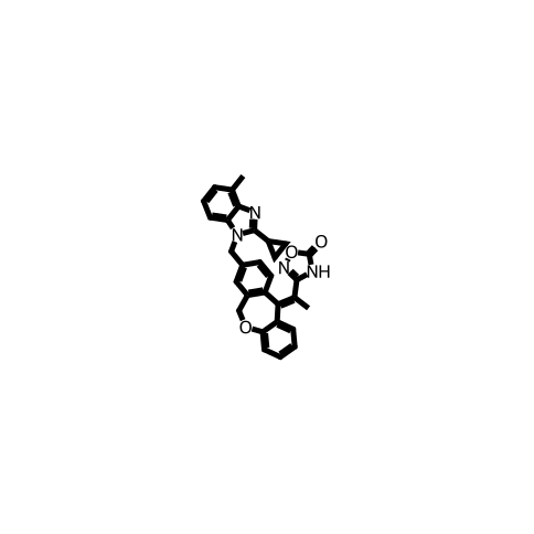 CC(=C1c2ccc(Cn3c(C4CC4)nc4c(C)cccc43)cc2COc2ccccc21)c1noc(=O)[nH]1